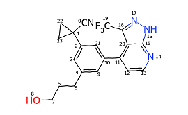 N#CC1(c2cc(CCCO)cc(-c3ccnc4[nH]nc(C(F)(F)F)c34)c2)CC1